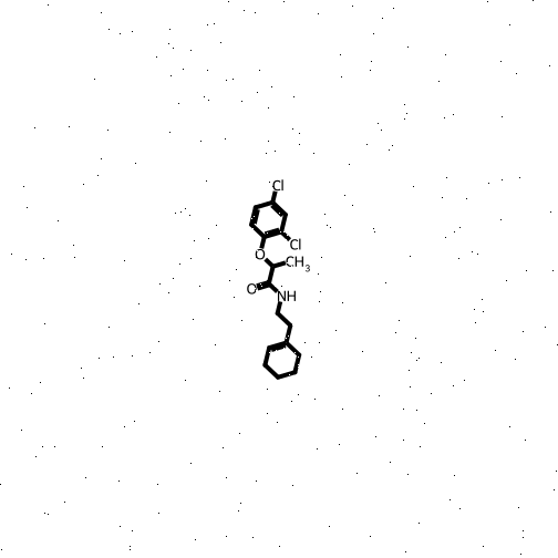 CC(Oc1ccc(Cl)cc1Cl)C(=O)NCCC1=CCCCC1